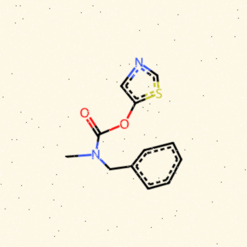 CN(Cc1ccccc1)C(=O)Oc1cncs1